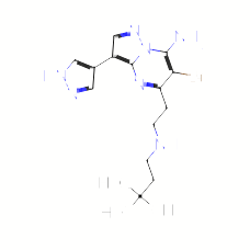 CC(C)(C)CCNCCc1nc2c(-c3cn[nH]c3)cnn2c(N)c1Br